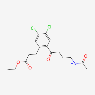 CCOC(=O)CCc1cc(Cl)c(Cl)cc1C(=O)CCCNC(C)=O